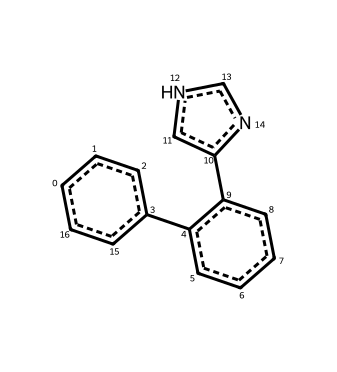 c1ccc(-c2ccccc2-c2c[nH]cn2)cc1